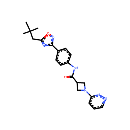 CC(C)(C)Cc1nc(-c2ccc(NC(=O)C3CN(c4cccnn4)C3)cc2)no1